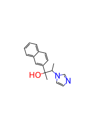 CC(n1ccnc1)C(C)(O)c1ccc2ccccc2c1